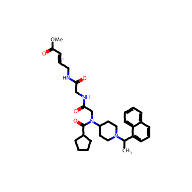 COC(=O)/C=C/CNC(=O)CNC(=O)CN(C(=O)C1CCCC1)C1CCN(C(C)c2cccc3ccccc23)CC1